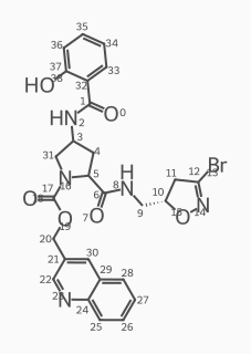 O=C(NC1CC(C(=O)NC[C@@H]2CC(Br)=NO2)N(C(=O)OCc2cnc3ccccc3c2)C1)c1ccccc1O